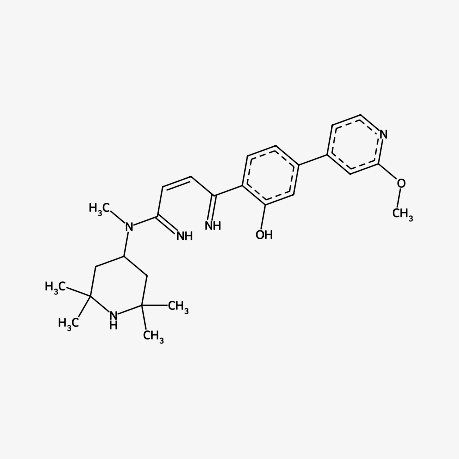 COc1cc(-c2ccc(C(=N)/C=C\C(=N)N(C)C3CC(C)(C)NC(C)(C)C3)c(O)c2)ccn1